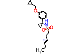 CC/C=C/CCS(=O)(=O)NC1(c2cccc(OCC3CC3)c2)CC1